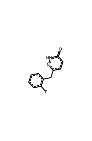 O=c1ccc(Cc2ccccc2F)n[nH]1